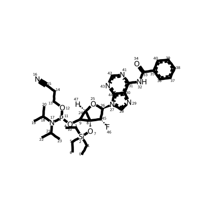 CC[Si](CC)(CC)O[C@]12C(OP(OCCC#N)N(C(C)C)C(C)C)[C@H]1O[C@@H](n1cnc3c(NC(=O)c4ccccc4)ncnc31)[C@@H]2F